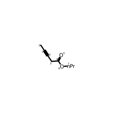 CC#CCC(=O)OCCC